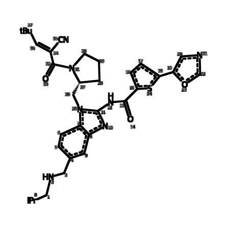 CC(C)CNCc1ccc2c(c1)nc(NC(=O)c1ccc(-c3cnco3)s1)n2C[C@H]1CCCN1C(=O)/C(C#N)=C/C(C)(C)C